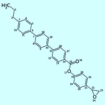 CCCc1ccc(-c2ccc(-c3ccc(C(=O)Oc4ccc(C5CO5)cc4)cc3)cc2)cc1